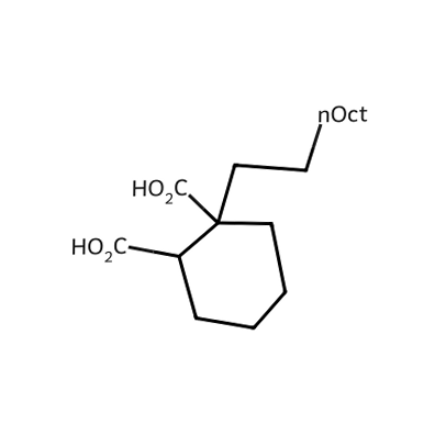 CCCCCCCCCCC1(C(=O)O)CCCCC1C(=O)O